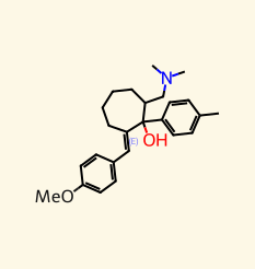 COc1ccc(/C=C2\CCCCC(CN(C)C)C2(O)c2ccc(C)cc2)cc1